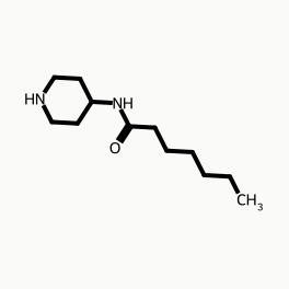 CCCCCCC(=O)NC1CCNCC1